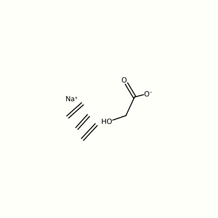 C=C.C=C.C=C.O=C([O-])CO.[Na+]